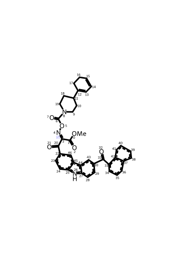 COC(=O)/C(=N\OC(=O)N1CCC(C2=CC=CCC2)CC1)C(=O)c1ccc2[nH]c3ccc(C(=O)c4cccc5ccccc45)cc3c2c1